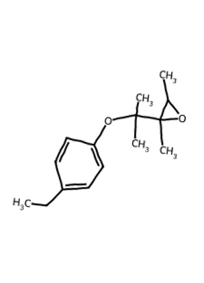 CCc1ccc(OC(C)(C)C2(C)OC2C)cc1